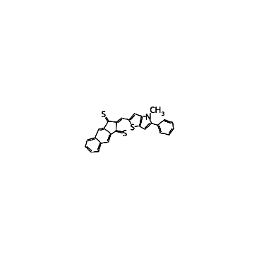 Cn1c(-c2ccccc2)cc2sc(C=C3C(=S)c4cc5ccccc5cc4C3=S)cc21